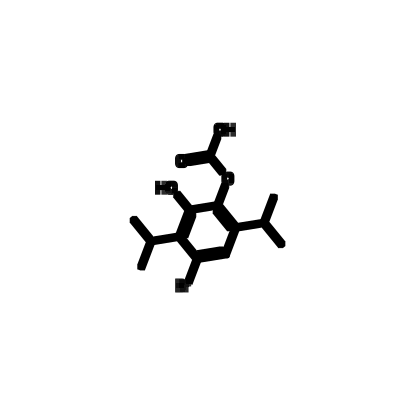 CC(C)c1cc(Br)c(C(C)C)c(O)c1OC(=O)O